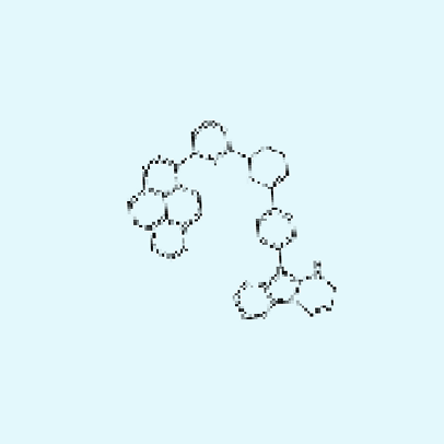 C1=Cc2c(n(-c3ccc(C4=CCCC(c5cccc(-c6ccc7ccc8cccc9ccc6c7c89)n5)=N4)cc3)c3ccccc23)NC1